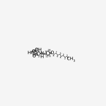 CCCCCCCCCOc1ccc(CNC2CCC(C(=O)O)(C(=O)O)C2)cc1